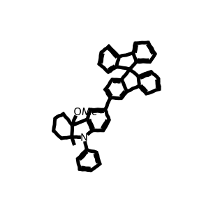 COC12CCCCC1(C)N(c1ccccc1)c1ccc(-c3ccc4c(c3)-c3ccccc3C43c4ccccc4-c4ccccc43)cc12